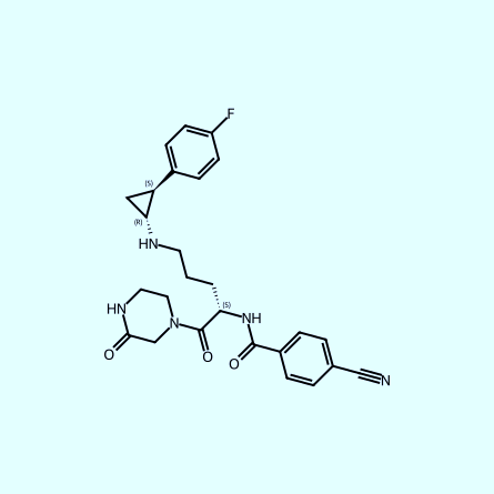 N#Cc1ccc(C(=O)N[C@@H](CCCN[C@@H]2C[C@H]2c2ccc(F)cc2)C(=O)N2CCNC(=O)C2)cc1